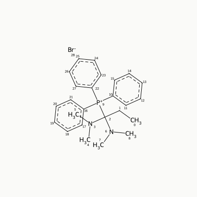 CCC(N(C)C)(N(C)C)[P+](c1ccccc1)(c1ccccc1)c1ccccc1.[Br-]